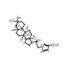 C[C@@]1(O)CC[C@@]2(C)[C@H](CC[C@@H]3[C@@H]2CC[C@]2(C)[C@@H](C(=O)Cn4cc(C(=O)O)cn4)CC[C@@H]32)C1